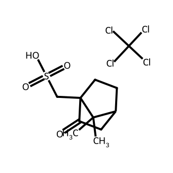 CC1(C)C2CCC1(CS(=O)(=O)O)C(=O)C2.ClC(Cl)(Cl)Cl